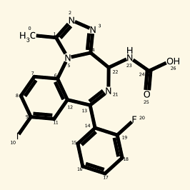 Cc1nnc2n1-c1ccc(I)cc1C(c1ccccc1F)=NC2NC(=O)O